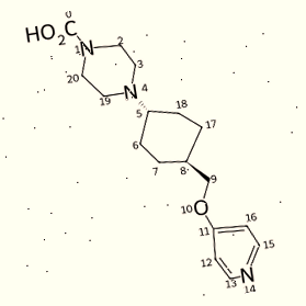 O=C(O)N1CCN([C@H]2CC[C@H](COc3ccncc3)CC2)CC1